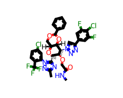 CNC(=O)CO[C@@H]1[C@@H](n2cc(-c3cc(F)c(Cl)c(F)c3)nn2)[C@H]2OC(c3ccccc3)OC[C@H]2O[C@H]1c1nc(C)nn1-c1cc(Cl)ccc1C(F)(F)F